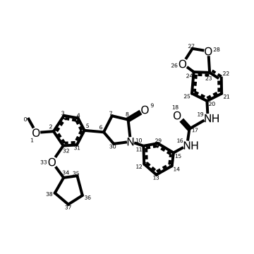 COc1ccc(C2CC(=O)N(c3cccc(NC(=O)Nc4ccc5c(c4)OCO5)c3)C2)cc1OC1CCCC1